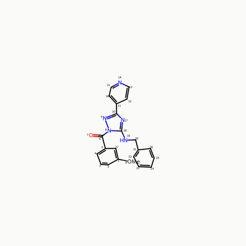 COc1cccc(C(=O)n2nc(-c3ccncc3)nc2NCc2ccccc2)c1